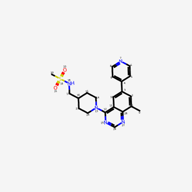 Cc1cc(-c2ccncc2)cc2c(N3CCC(CNS(C)(=O)=O)CC3)ncnc12